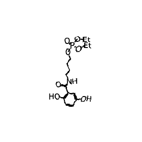 CCOP(=O)(OCC)OCCCCNC(=O)c1cc(O)ccc1O